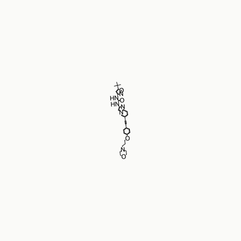 CC(C)(C)c1cc(NC(=O)Nc2cn3cc(C#Cc4ccc(OCCCN5CCOCC5)cc4)ccc3n2)no1